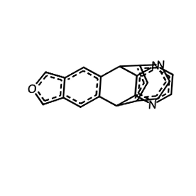 c1cc2cc(n1)C1c3cc4cocc4cc3C2c2nccnc21